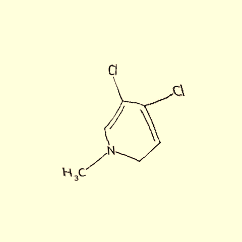 CN1C=C(Cl)C(Cl)=CC1